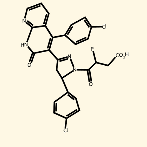 O=C(O)CC(F)C(=O)N1N=C(c2c(-c3ccc(Cl)cc3)c3cccnc3[nH]c2=O)CC1c1ccc(Cl)cc1